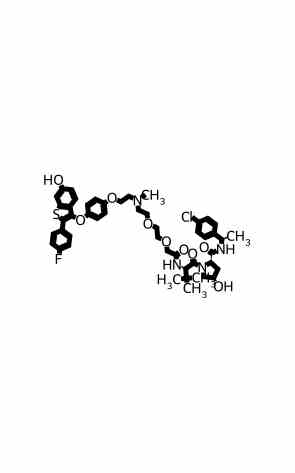 C[C@H](NC(=O)[C@@H]1C[C@@H](O)CN1C(=O)[C@@H](NC(=O)COCCOCCN(C)CCOc1ccc(Oc2c(-c3ccc(F)cc3)sc3cc(O)ccc23)cc1)C(C)(C)C)c1ccc(Cl)cc1